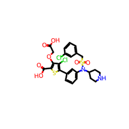 O=C(O)COc1c(C(=O)O)sc(-c2cccc(N(C3CCNCC3)S(=O)(=O)Cc3cccc(Cl)c3)c2)c1Cl